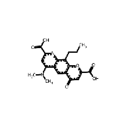 CCCc1c2nc(C(=O)O)cc(N(C)C)c2cc2c(=O)cc(C(=O)O)oc12